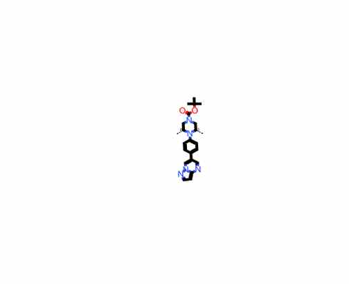 C[C@@H]1CN(C(=O)OC(C)(C)C)C[C@H](C)N1c1ccc(-c2cnc3ccnn3c2)cc1